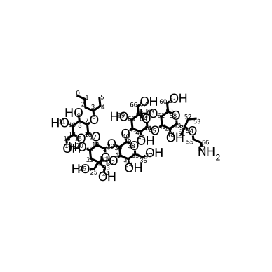 CCCC(CC)OC1C(O)[C@H](O)C(CO)O[C@@H]1OC1C(O)CC(CO)(CO)O[C@@H]1OC1C(O)[C@H](O)C(CO)O[C@@H]1OC1C(O)[C@@H](OC2C(O)[C@@H](C(C)(CC)OCCN)OC(CO)[C@H]2O)OC(CO)[C@H]1O